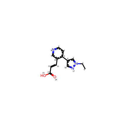 CCn1cc(-c2ccncc2C=CC(=O)O)cn1